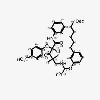 CCCCCCCCCCCCCCCc1cccc(OC(CCC)NCC(C)(C)C(=O)C(Cl)(Oc2ccc(C(=O)O)cc2)C(=O)Nc2ccccc2)c1